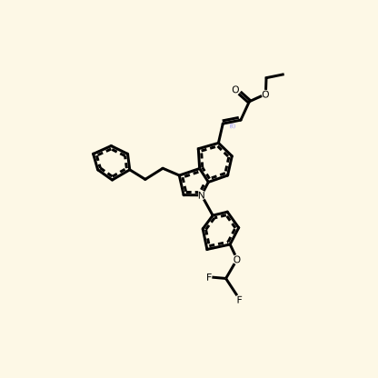 CCOC(=O)/C=C/c1ccc2c(c1)c(CCc1ccccc1)cn2-c1ccc(OC(F)F)cc1